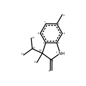 C=C1Nc2cc(C)ccc2C1(C)C(C)C